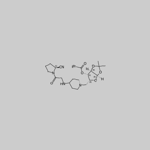 CC(C)C(=O)O[C@@H]1[C@H]2OC(C)(C)O[C@H]2O[C@@H]1CN1CCC(NCC(=O)N2CCC[C@H]2C#N)CC1